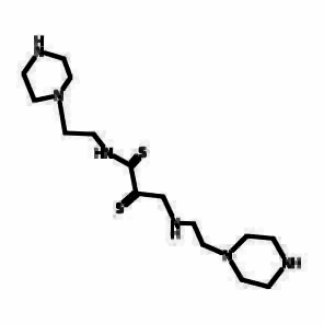 S=C(CNCCN1CCNCC1)C(=S)NCCN1CCNCC1